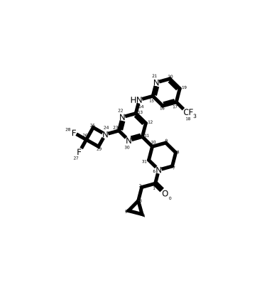 O=C(CC1CC1)N1CCCC(c2cc(Nc3cc(C(F)(F)F)ccn3)nc(N3CC(F)(F)C3)n2)C1